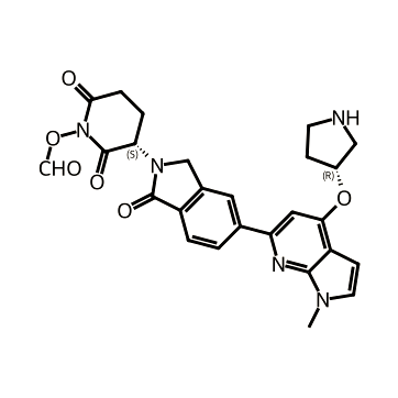 Cn1ccc2c(O[C@@H]3CCNC3)cc(-c3ccc4c(c3)CN([C@H]3CCC(=O)N(OC=O)C3=O)C4=O)nc21